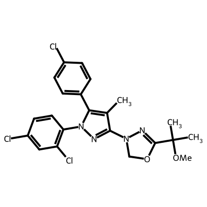 COC(C)(C)C1=NN(c2nn(-c3ccc(Cl)cc3Cl)c(-c3ccc(Cl)cc3)c2C)CO1